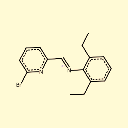 CCc1cccc(CC)c1/N=C/c1cccc(Br)n1